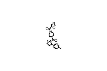 Cc1ccc(C2CC=NN2C(=O)C2CCN(C(=O)c3cnco3)CC2)cn1